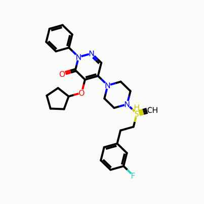 C#[SH](CCc1cccc(F)c1)N1CCN(c2cnn(-c3ccccc3)c(=O)c2OC2CCCC2)CC1